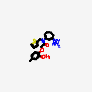 Cc1ccc(OCC(=O)N(Cc2cccs2)C2=CCCCC(NN)=C2)c(O)c1